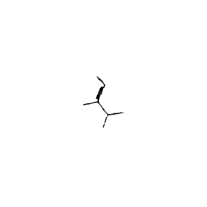 [CH2]/C=C(\F)C(F)F